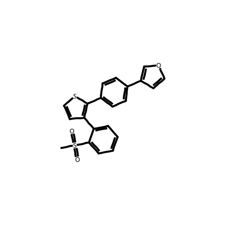 CS(=O)(=O)c1ccccc1-c1ccsc1-c1ccc(-c2ccoc2)cc1